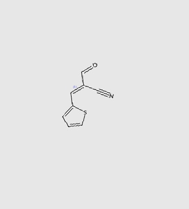 N#C/C(C=O)=C\c1cccs1